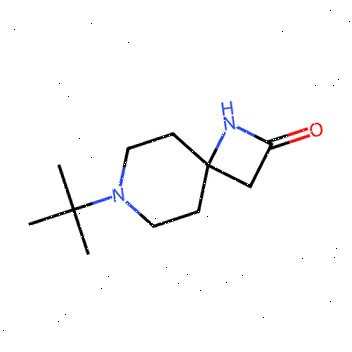 CC(C)(C)N1CCC2(CC1)CC(=O)N2